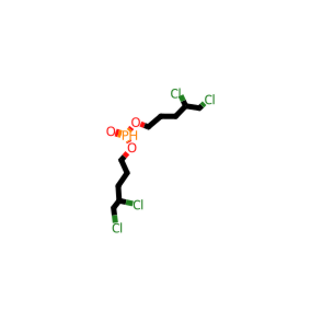 O=[PH](OCCCC(Cl)CCl)OCCCC(Cl)CCl